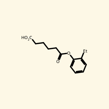 CCc1ccccc1OC(=O)CCCCC(=O)O